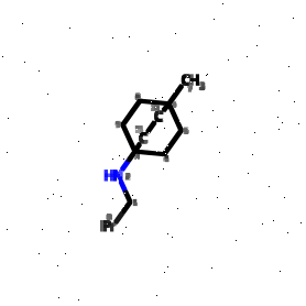 CC(C)CNC12CCC(C)(CC1)CC2